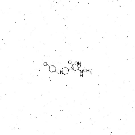 CNC(=O)CN(C(=O)O)C1CCN(Cc2ccc(Cl)cc2)CC1